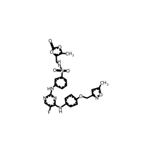 Cc1cc(COc2ccc(Nc3nc(Nc4cccc(S(=O)(=O)NCc5oc(=O)oc5C)c4)ncc3F)cc2)no1